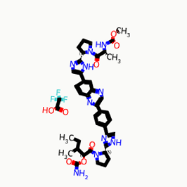 CCC(C)[C@H](OC(N)=O)C(=O)N1CCC[C@H]1c1nc(-c2ccc(-c3cnc4cc(-c5cnc([C@@H]6CCCN6C(=O)[C@@H](C)NC(=O)OC)[nH]5)ccc4n3)cc2)c[nH]1.O=C(O)C(F)(F)F